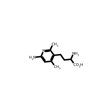 Cc1cc(N)nc(C)c1CCC(N)C(=O)O